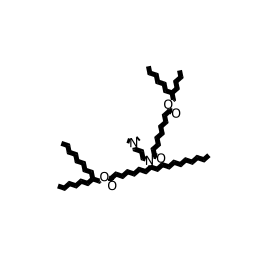 CCCCCCCCCCC(CCCCCCC(=O)OCC(CCCCCC)CCCCCCCC)N(CCCN(C)C)C(=O)CCCCCCCC(=O)OCC(CCCC)CCCCCC